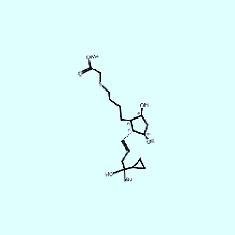 CCCCC(O)(CC=C[C@@H]1[C@@H](CCCCSCC(=O)OC)[C@@H](O)C[C@H]1O)C1CC1